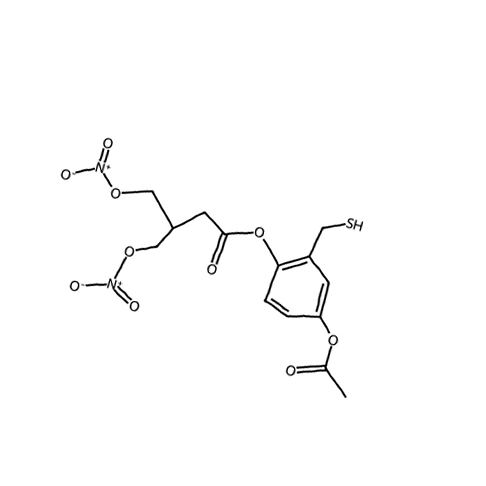 CC(=O)Oc1ccc(OC(=O)CC(CO[N+](=O)[O-])CO[N+](=O)[O-])c(CS)c1